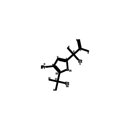 C=C(C)C(C)(CC)c1cc(C(C)C)c(C(C)(C)CC)s1